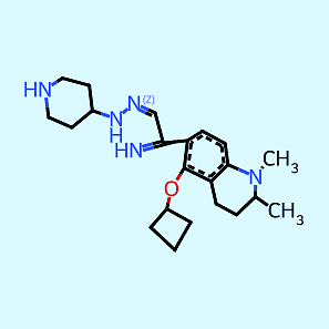 CC1CCc2c(ccc(C(=N)/C=N\NC3CCNCC3)c2OC2CCC2)N1C